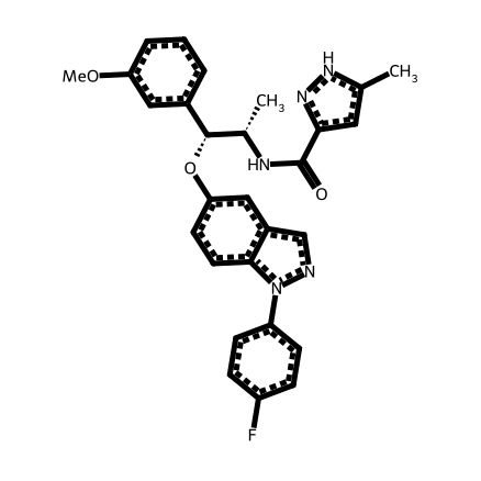 COc1cccc([C@@H](Oc2ccc3c(cnn3-c3ccc(F)cc3)c2)[C@H](C)NC(=O)c2cc(C)[nH]n2)c1